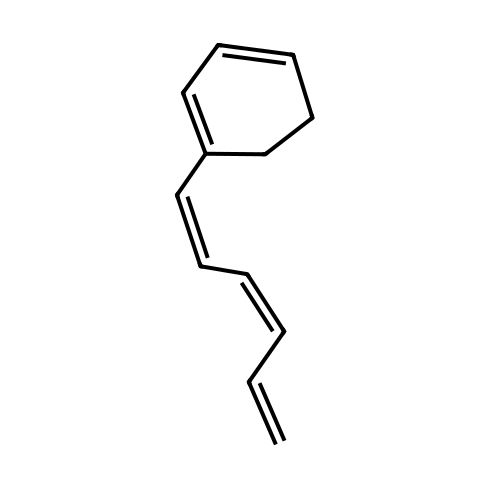 C=C/C=C\C=C/C1=CC=CCC1